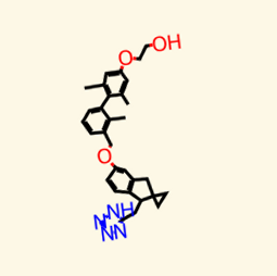 Cc1cc(OCCO)cc(C)c1-c1cccc(COc2ccc3c(c2)CC2(CC2)C3Cc2nnn[nH]2)c1C